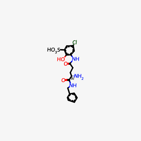 N[C@@H](CCC(=O)Nc1cc(Cl)cc(S(=O)(=O)O)c1O)C(=O)NCc1ccccc1